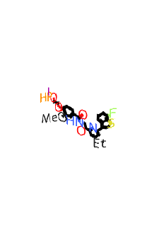 CCc1cc(C(=O)CNC(=O)c2ccc(OCCOPI)c(OC)c2)nc(-c2csc3c(F)cccc23)c1